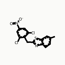 Cc1ccc2nc(Cc3c(Cl)cc([N+](=O)[O-])cc3Cl)sc2c1